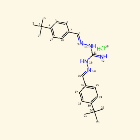 CC(C)(C)c1ccc(C=NNC(=N)NN=Cc2ccc(C(C)(C)C)cc2)cc1.Cl